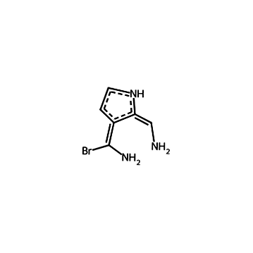 N/C=c1/[nH]cc/c1=C(/N)Br